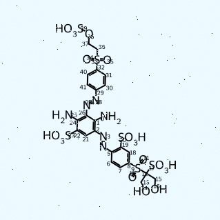 Nc1c(N=Nc2ccc(S(=O)(=O)C(CO)(CO)S(=O)(=O)O)cc2S(=O)(=O)O)cc(S(=O)(=O)O)c(N)c1N=Nc1ccc(S(=O)(=O)CCOS(=O)(=O)O)cc1